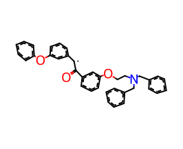 O=C([CH]c1cccc(Oc2ccccc2)c1)c1cccc(OCCN(Cc2ccccc2)Cc2ccccc2)c1